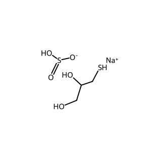 O=S([O-])O.OCC(O)CS.[Na+]